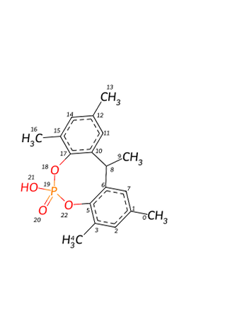 Cc1cc(C)c2c(c1)C(C)c1cc(C)cc(C)c1OP(=O)(O)O2